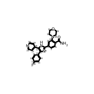 NC(=O)c1ccc(-c2nc(-c3ccc(F)cc3)c(-c3ccncc3)[nH]2)cc1N1CCOCC1